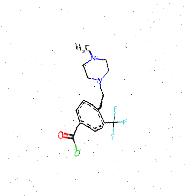 CN1CCN(Cc2ccc(C(=O)Cl)cc2C(F)(F)F)CC1